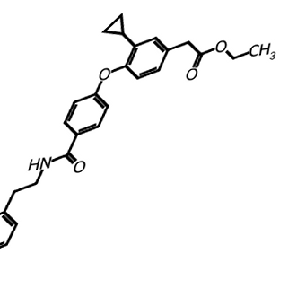 CCOC(=O)Cc1ccc(Oc2ccc(C(=O)NCCc3ccc(Cl)cc3)cc2)c(C2CC2)c1